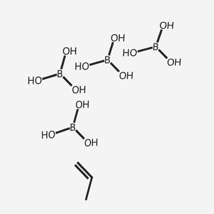 C=CC.OB(O)O.OB(O)O.OB(O)O.OB(O)O